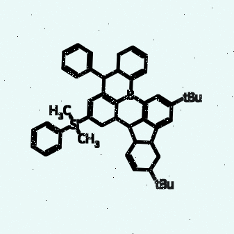 CC(C)(C)c1cc2c3c(c1)C1CC(C(C)(C)C)C=CC1C3C1CC([Si](C)(C)c3ccccc3)=CC3=C1B2C1=CC=CCC1C3c1ccccc1